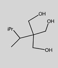 CC(C)C(C)C(CO)(CO)CO